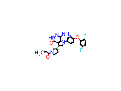 C=CC(=O)N1CC[C@@H](c2cn(-c3ccc(Oc4cc(F)ccc4F)cc3)c3c(N)n[nH]c(=O)c23)C1